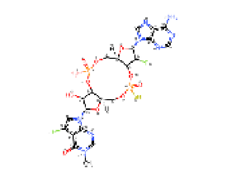 BP1(=O)OC[C@H]2O[C@@H](n3cnc4c(N)ncnc43)C(F)C2OP(=O)(S)OC[C@H]2O[C@@H](n3cc(F)c4c(=O)n(C)cnc43)C(O)C2O1